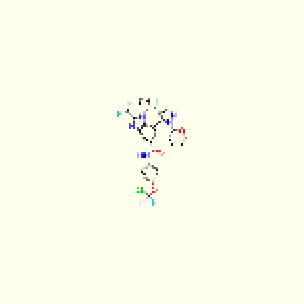 C[C@H](CF)n1c(C(F)F)nc2cc(C(=O)Nc3ccc(OC(F)(F)Cl)cc3)cc(-c3ccnn3C3CCCCO3)c21